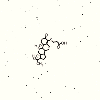 CC(=O)C1CCC2C3CCC4=C(SCCC(=O)O)C(=O)CC[C@]4(C)C3CC[C@]12C